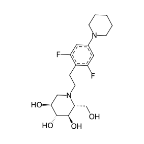 OC[C@@H]1[C@@H](O)[C@H](O)[C@@H](O)CN1CCc1c(F)cc(N2CCCCC2)cc1F